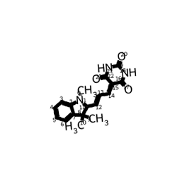 CN1c2ccccc2C(C)(C)C1/C=C/C=C1C(=O)NC(=O)NC1=O